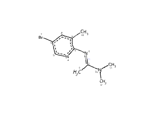 C/C(=N\c1ncc(Br)cc1C)N(C)C